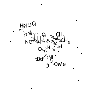 COC(=O)NC(C(=O)N1C[C@H]2[C@@H]([C@H]1C(=O)N[C@H](C#N)C[C@@H]1CCNC1=O)C2(C)C)C(C)(C)C